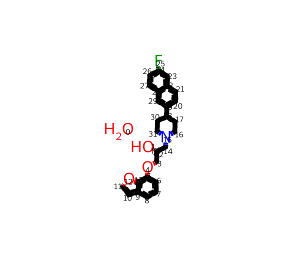 O.O[C@H](COc1cccc2ccoc12)CN1CCC(c2ccc3cc(F)ccc3c2)CC1